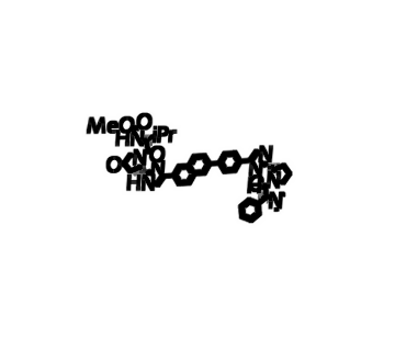 COC(=O)N[C@H](C(=O)N1CC(=O)C[C@H]1c1nc(-c2ccc3cc(-c4ccc(-c5cnc([C@@H]6CCCN6C(=O)[C@@H](c6ccccc6)N(C)C)[nH]5)cc4)ccc3c2)c[nH]1)C(C)C